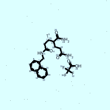 C[C@@H](CC(=O)NCc1cccc2ccccc12)C(CCC(N)=O)C(N)=O.O=C(O)C(F)(F)F